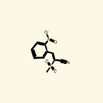 CS(=O)(=O)C(C#N)=Cc1ccccc1[N+](=O)[O-]